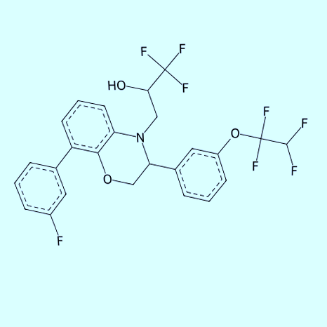 OC(CN1c2cccc(-c3cccc(F)c3)c2OCC1c1cccc(OC(F)(F)C(F)F)c1)C(F)(F)F